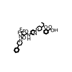 CCC(Oc1ccccc1C(=O)O)C1CCN(c2ccc(NC(=O)c3oc(N4CCC(c5ccccc5)CC4)nc3C(F)(F)F)cn2)CC1